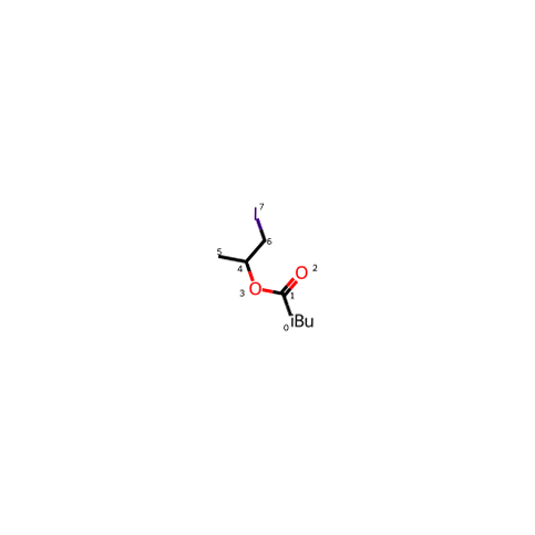 CCC(C)C(=O)OC(C)CI